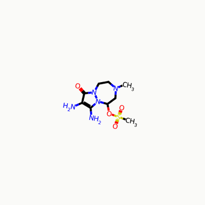 CN1CCn2c(=O)c(N)c(N)n2C(OS(C)(=O)=O)C1